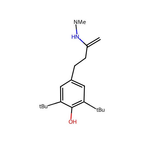 C=C(CCc1cc(C(C)(C)C)c(O)c(C(C)(C)C)c1)NNC